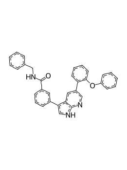 O=C(NCc1ccccc1)c1cccc(-c2c[nH]c3ncc(-c4ccccc4Oc4ccccc4)cc23)c1